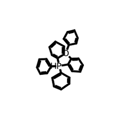 c1ccc(Oc2ccccc2[PH](c2ccccc2)(c2ccccc2)c2ccccc2)cc1